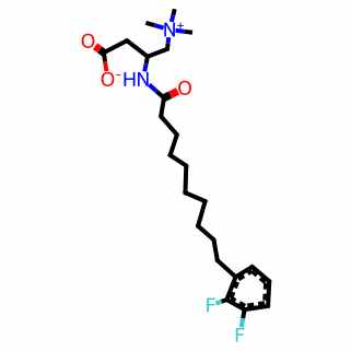 C[N+](C)(C)CC(CC(=O)[O-])NC(=O)CCCCCCCCCc1cccc(F)c1F